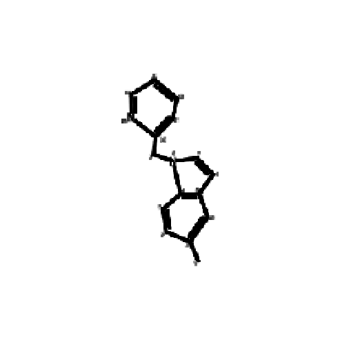 Cc1ccc2c(ccn2Cc2ccccn2)c1